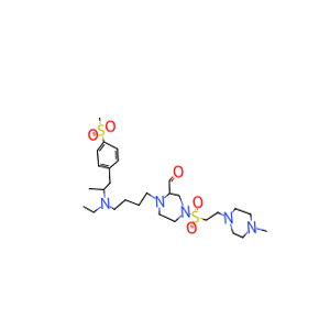 CCN(CCCCN1CCN(S(=O)(=O)CCN2CCN(C)CC2)CC1C=O)C(C)Cc1ccc(S(C)(=O)=O)cc1